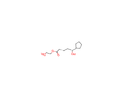 O=C(CCCC(O)C1CCCC1)OCCO